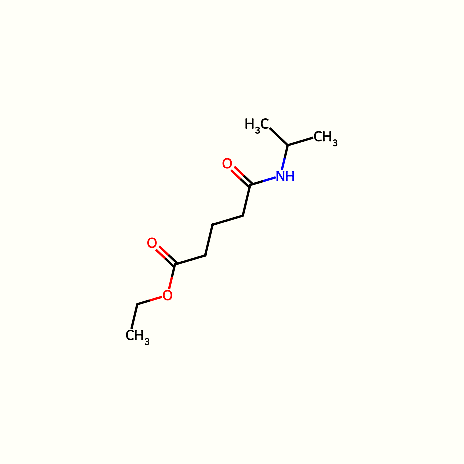 CCOC(=O)CCCC(=O)NC(C)C